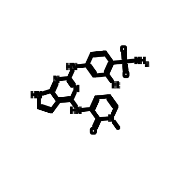 CCc1cc(Nc2nc(Nc3cccn(C)c3=O)c3cc[nH]c3n2)ccc1S(N)(=O)=O